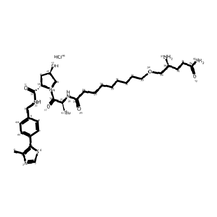 Cc1ncsc1-c1ccc(CNC(=O)[C@@H]2C[C@@H](O)CN2C(=O)[C@@H](NC(=O)CCCCCCCCOC[C@@H](N)CCC(N)=O)C(C)(C)C)cc1.Cl